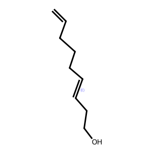 C=CCCC/C=C/CCO